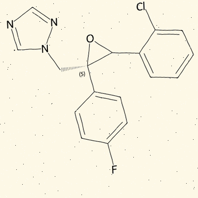 Fc1ccc([C@@]2(Cn3[c]ncn3)OC2c2ccccc2Cl)cc1